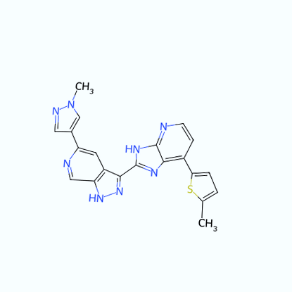 Cc1ccc(-c2ccnc3[nH]c(-c4n[nH]c5cnc(-c6cnn(C)c6)cc45)nc23)s1